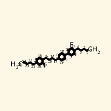 C=CCCCc1ccc(-c2ccc(CCCCc3ccc(CC/C=C/C)cc3F)cc2)cc1F